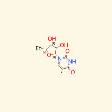 CC[C@H]1O[C@@H](n2cc(C)c(=O)[nH]c2=O)C(O)[C@H]1O